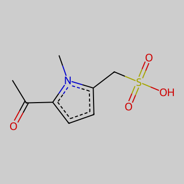 CC(=O)c1ccc(CS(=O)(=O)O)n1C